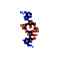 Nc1ncnc2c1ncn2[C@@H]1O[C@@H]2CO[P@](=O)(S)OC3C(CO[P@](=O)(S)CC1C2=O)O[C@@H](n1c(=O)sc2c(N)ncnc21)C3O